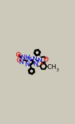 C[C@H]1CC[C@H](Cn2c(N3CCOC[C@H]3c3ccccc3)nc3nc(-c4noc(=O)[nH]4)nc(-c4ccccc4)c32)CC1